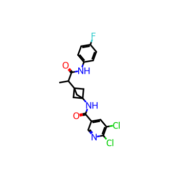 CC(C(=O)Nc1ccc(F)cc1)C12CC(NC(=O)c3cnc(Cl)c(Cl)c3)(C1)C2